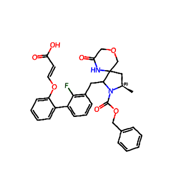 C[C@@H]1CC2(COCC(=O)N2)C(Cc2cccc(-c3ccccc3OC=CC(=O)O)c2F)N1C(=O)OCc1ccccc1